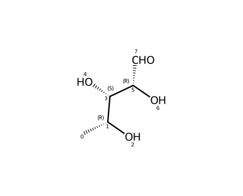 C[C@@H](O)[C@H](O)[C@@H](O)C=O